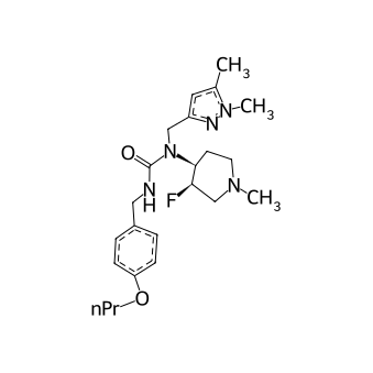 CCCOc1ccc(CNC(=O)N(Cc2cc(C)n(C)n2)[C@H]2CCN(C)C[C@H]2F)cc1